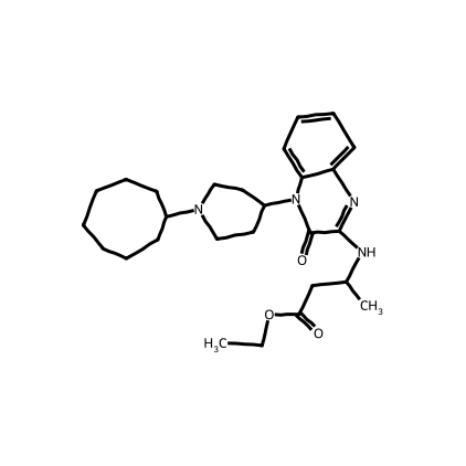 CCOC(=O)CC(C)Nc1nc2ccccc2n(C2CCN(C3CCCCCCC3)CC2)c1=O